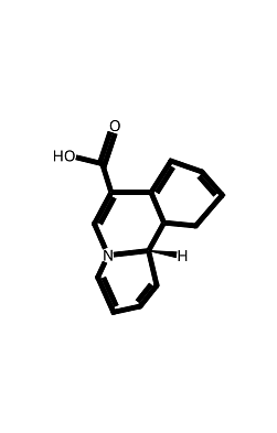 O=C(O)C1=CN2C=CC=C[C@H]2C2CC=CC=C12